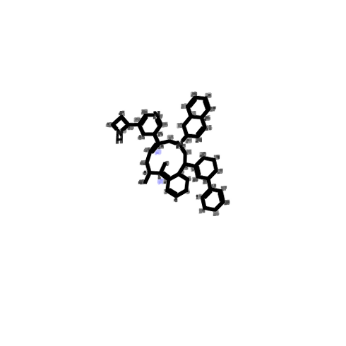 C/C1=C2/C=CCCC2C(C2=CC(C3=CCCC=C3)CCC2)CN(C2C=CC3C=CC=CC3C2)C/C(C2C=NC=C(C3CCN3)C2)=C\CC1C